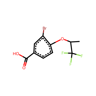 CC(Oc1ccc(C(=O)O)cc1Br)C(F)(F)F